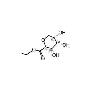 CCOC(=O)[C@H]1OC[C@H](O)[C@H](O)[C@@H]1O